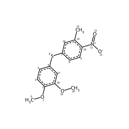 COc1ccc(Sc2ccc([N+](=O)[O-])c(C)c2)cc1OC